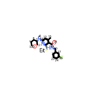 CCSc1nc(N(C)C2CCCOC2)cc(C)c1C(=O)NCc1cccc(F)c1